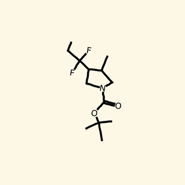 CCC(F)(F)C1CN(C(=O)OC(C)(C)C)CC1C